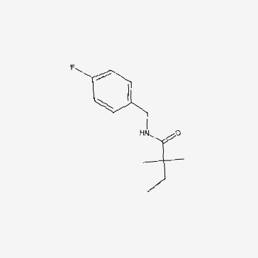 CCC(C)(C)C(=O)NCc1ccc(F)cc1